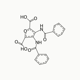 O=C(Nc1c(C(=O)O)oc(C(=O)O)c1NC(=O)c1ccccc1)c1ccccc1